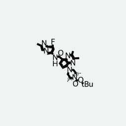 Cc1cn2cc(NC(=O)c3ccc(N4C[C@@H](C)N(C(=O)OC(C)(C)C)[C@@H](C)C4)c4nc(C)c(C)nc34)cc(F)c2n1